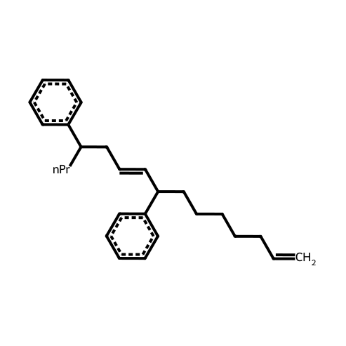 C=CCCCCCC(C=CCC(CCC)c1ccccc1)c1ccccc1